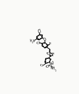 Nc1cc(Cl)cc(Oc2c(Cl)ccc(Cc3nnc(-c4ccc(Cl)c(S(N)(=O)=O)c4)o3)c2F)c1